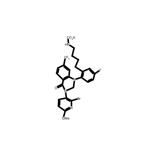 COc1ccc(N2CN(c3ccc(F)cc3CCCCNC(=O)O)c3cc(C(F)(F)F)ccc3C2=O)c(Br)n1